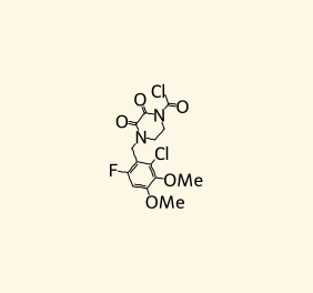 COc1cc(F)c(CN2CCN(C(=O)Cl)C(=O)C2=O)c(Cl)c1OC